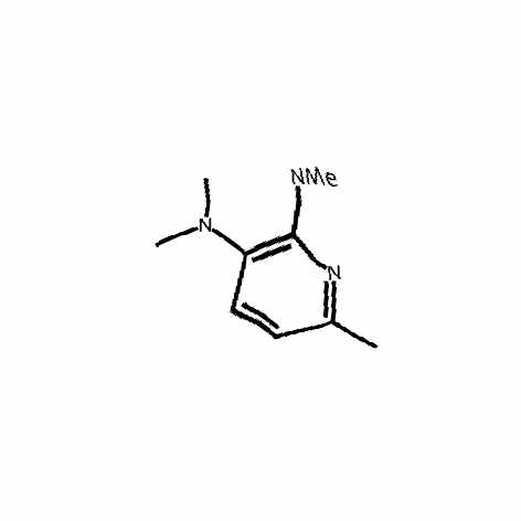 CNc1nc(C)ccc1N(C)C